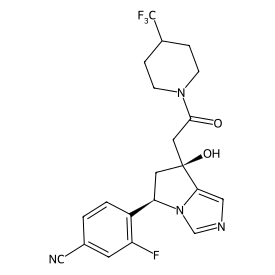 N#Cc1ccc([C@H]2C[C@](O)(CC(=O)N3CCC(C(F)(F)F)CC3)c3cncn32)c(F)c1